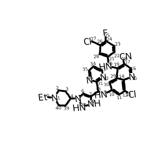 CCN1CCC(N2C=C(C(Nc3cc(Cl)c4ncc(C#N)c(Nc5ccc(F)c(Cl)c5)c4c3)c3ncccn3)NN2)CC1